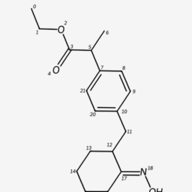 CCOC(=O)C(C)c1ccc(CC2CCCCC2=NO)cc1